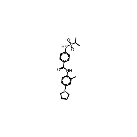 Cc1cc(N2CC=CC2)ccc1NC(=O)c1ccc(NS(=O)(=O)C(C)C)cc1